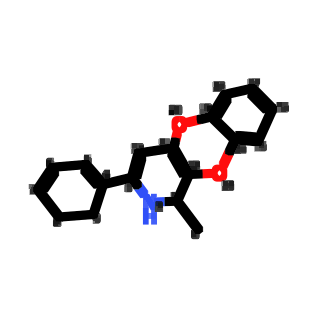 CC1NC(C2=CC=CCC2)=CC2=C1Oc1ccccc1O2